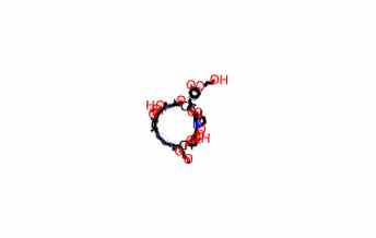 COCCO[C@H]1C[C@@H]2CC[C@@H](C)[C@@](O)(O2)C(=O)C(=O)N2CCCC[C@H]2C(=O)O[C@H]([C@H](C)C[C@@H]2CC[C@@H](OCCCO)[C@H](OC)C2)CC(=O)[C@H](C)/C=C(\C)[C@@H](O)[C@@H](OC)C(=O)[C@H](C)C[C@H](C)/C=C/C=C/C=C/1C